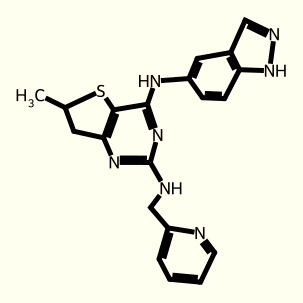 CC1Cc2nc(NCc3ccccn3)nc(Nc3ccc4[nH]ncc4c3)c2S1